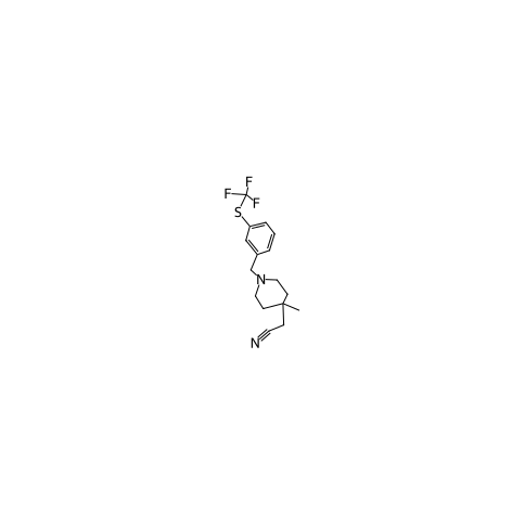 CC1(CC#N)CCN(Cc2cccc(SC(F)(F)F)c2)CC1